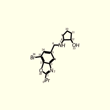 CC(C)c1nc2cc(CNC3CCCC3O)cc(Br)c2o1